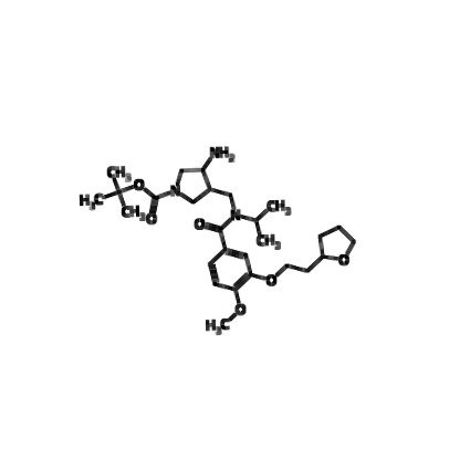 COc1ccc(C(=O)N(CC2CN(C(=O)OC(C)(C)C)CC2N)C(C)C)cc1OCCC1CCCO1